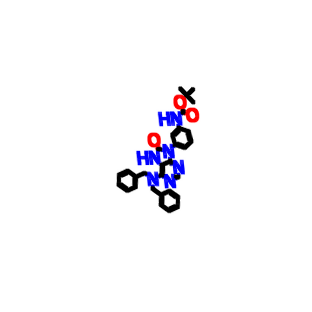 CC(C)(C)OC(=O)Nc1cccc(-n2c(=O)[nH]c3c(N(Cc4ccccc4)Cc4ccccc4)ncnc32)c1